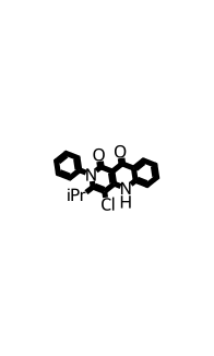 CC(C)c1c(Cl)c2[nH]c3ccccc3c(=O)c2c(=O)n1-c1ccccc1